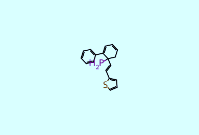 PC1(C=Cc2cccs2)CC=CC=C1c1ccccc1